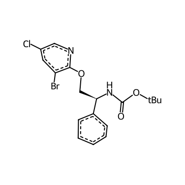 CC(C)(C)OC(=O)N[C@H](COc1ncc(Cl)cc1Br)c1ccccc1